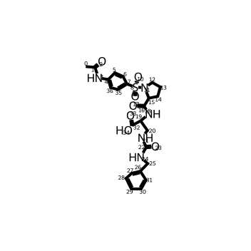 CC(=O)Nc1ccc(S(=O)(=O)N2CCCC2C(=O)NC(CNC(=O)NCc2ccccc2)C(=O)O)cc1